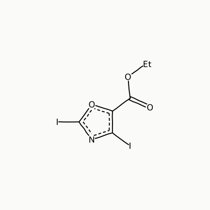 CCOC(=O)c1oc(I)nc1I